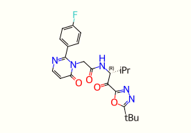 CC(C)[C@@H](NC(=O)Cn1c(-c2ccc(F)cc2)nccc1=O)C(=O)c1nnc(C(C)(C)C)o1